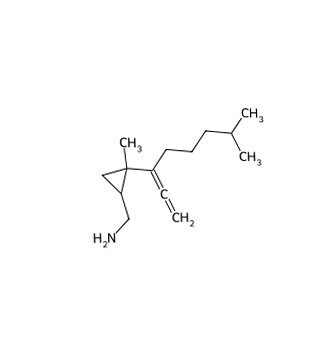 C=C=C(CCCC(C)C)C1(C)CC1CN